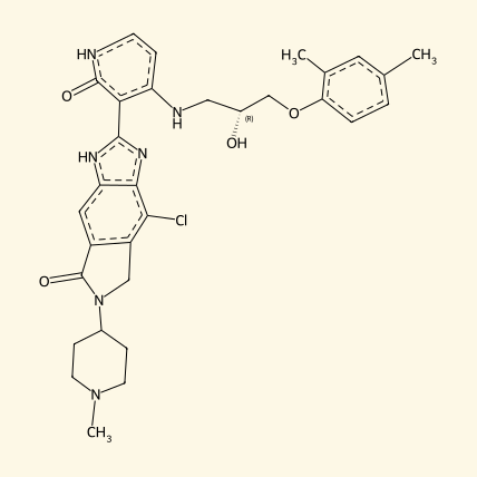 Cc1ccc(OC[C@H](O)CNc2cc[nH]c(=O)c2-c2nc3c(Cl)c4c(cc3[nH]2)C(=O)N(C2CCN(C)CC2)C4)c(C)c1